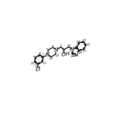 OC(CN1CCN(c2cccc(Cl)c2)CC1)Cn1cnc2ccccc21